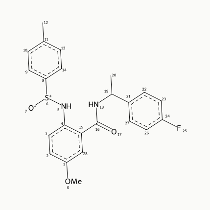 COc1ccc(N[S+]([O-])c2ccc(C)cc2)c(C(=O)NC(C)c2ccc(F)cc2)c1